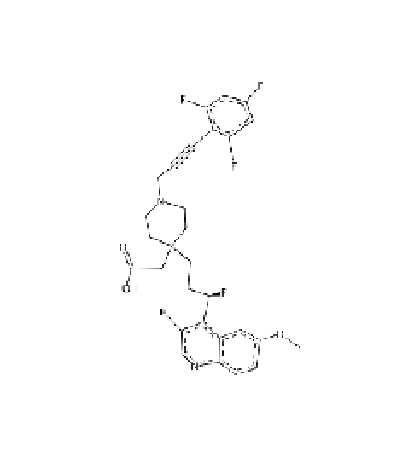 COc1ccc2ncc(F)c([C@H](F)CCC3(CC(=O)O)CCN(CC#Cc4c(F)cc(F)cc4F)CC3)c2c1